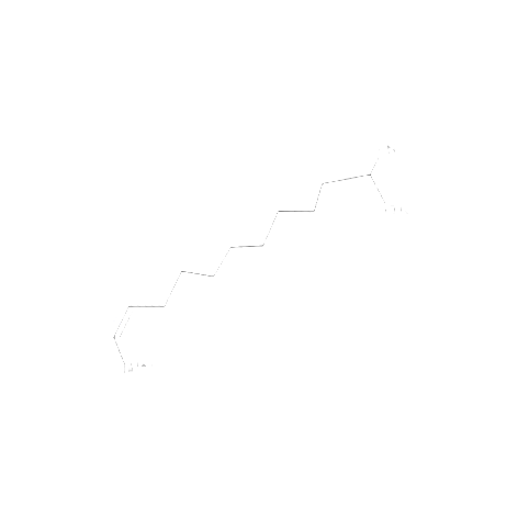 CCCCCC/C=C\CCCCCCCCC(C)C#N